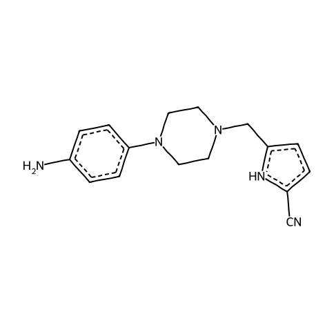 N#Cc1ccc(CN2CCN(c3ccc(N)cc3)CC2)[nH]1